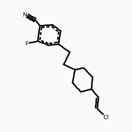 N#Cc1ccc(CCC2CCC(/C=C/Cl)CC2)cc1F